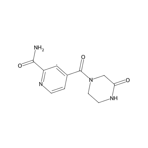 NC(=O)c1[c]c(C(=O)N2CCNC(=O)C2)ccn1